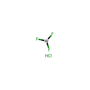 Cl.[F][Al]([F])[F]